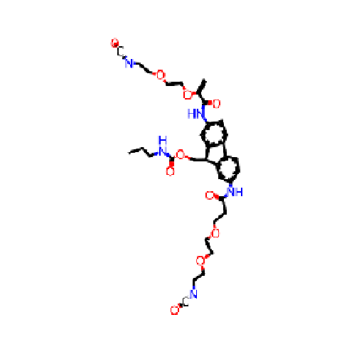 C=C(OCCOCCN=C=O)C(=O)Nc1ccc2c(c1)C(COC(=O)NCCC)c1cc(NC(=O)CCOCCOCCN=C=O)ccc1-2